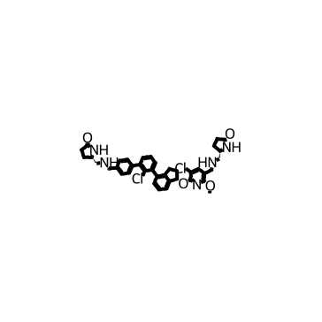 COc1nc(O[C@H]2CCc3c(-c4cccc(-c5ccc(CNC[C@@H]6CCC(=O)N6)cc5)c4Cl)cccc32)c(Cl)cc1CNC[C@@H]1CCC(=O)N1